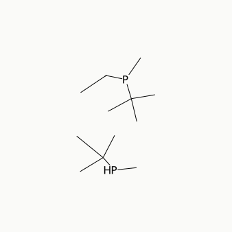 CCP(C)C(C)(C)C.CPC(C)(C)C